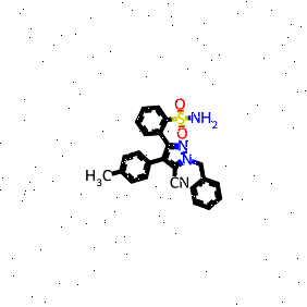 Cc1ccc(-c2c(-c3ccccc3S(N)(=O)=O)nn(Cc3ccccc3)c2C#N)cc1